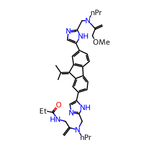 C=C(CNC(=O)CC)N(CCC)Cc1ncc(-c2ccc3c(c2)C(=C(C)C)c2cc(-c4cnc(CN(CCC)C(=C)COC)[nH]4)ccc2-3)[nH]1